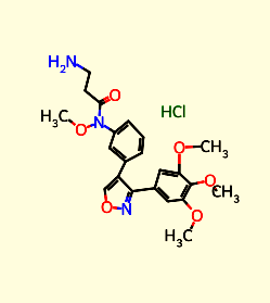 COc1cc(-c2nocc2-c2cccc(N(OC)C(=O)CCN)c2)cc(OC)c1OC.Cl